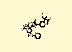 Cc1nc(C2(C(N)=O)CC(Nc3ccccn3)CN2C(N)=O)sc1-c1ccnc(C(C)(CF)C(F)F)c1